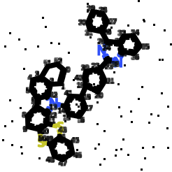 C1=Cc2c(ccc3c4ccc5c(c4n(-c4cccc(-c6ccc(-c7nc(-c8ccccc8)c8ccccc8n7)cc6)c4)c23)Sc2ccccc2S5)CC1